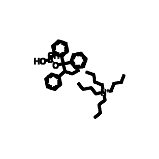 CCC(c1ccccc1)C(OB(O)O)(c1ccccc1)c1ccccc1.CCCC[N+](CCCC)(CCCC)CCCC